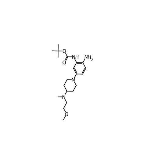 COCCN(C)C1CCN(c2ccc(N)c(NC(=O)OC(C)(C)C)c2)CC1